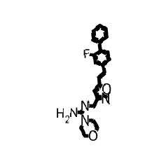 NC(=NCc1cc(C=Cc2ccc(-c3ccccc3)c(F)c2)on1)N1CCOCC1